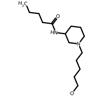 CCCCC(=O)NC1CCCN(CCCCC[O])C1